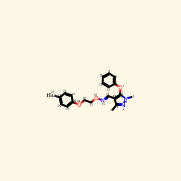 Cc1nn(C)c(Oc2ccccc2)c1C=NOCCOc1ccc(C(C)(C)C)cc1